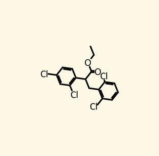 CCOC(=O)C(Cc1c(Cl)cccc1Cl)c1ccc(Cl)cc1Cl